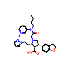 CCCCN(C(=O)CN1C[C@H](c2ccc3c(c2)CCO3)[C@@H](C(=O)O)[C@@H]1CCn1cccn1)c1ccc[n+](C)c1